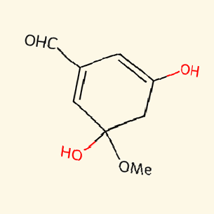 COC1(O)C=C(C=O)C=C(O)C1